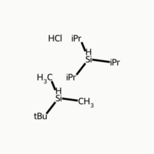 CC(C)[SiH](C(C)C)C(C)C.C[SiH](C)C(C)(C)C.Cl